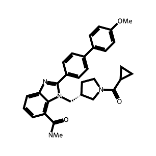 CNC(=O)c1cccc2nc(-c3ccc(-c4ccc(OC)cc4)cc3)n(C[C@@H]3CCN(C(=O)C4CC4)C3)c12